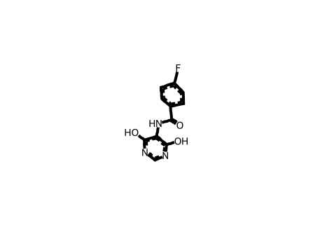 O=C(Nc1c(O)ncnc1O)c1ccc(F)cc1